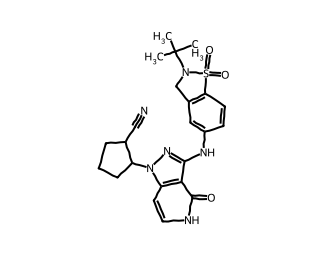 CC(C)(C)N1Cc2cc(Nc3nn(C4CCCC4C#N)c4cc[nH]c(=O)c34)ccc2S1(=O)=O